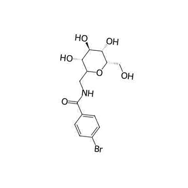 O=C(NCC1O[C@@H](CO)[C@@H](O)[C@H](O)[C@H]1O)c1ccc(Br)cc1